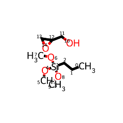 CCC[Si](OC)(OC)OC.OCC1CO1